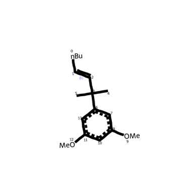 CCCC/C=C/C(C)(C)c1cc(OC)cc(OC)c1